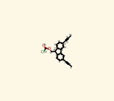 CC#Cc1ccc2c(c1)-c1cc(C#CC)ccc1C2COC(=O)Cl